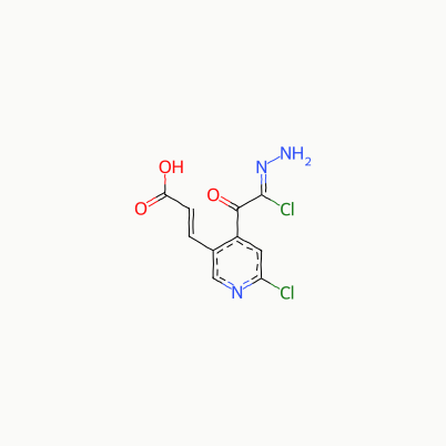 NN=C(Cl)C(=O)c1cc(Cl)ncc1C=CC(=O)O